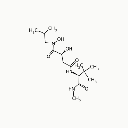 CNC(=O)[C@@H](NC(=O)C[C@H](O)C(=O)N(O)CC(C)C)C(C)(C)C